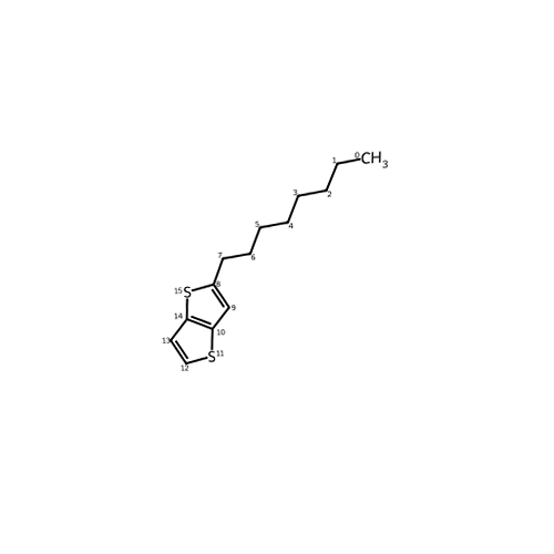 CCCCCCCCc1cc2sccc2s1